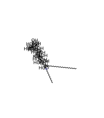 CCCCCCCCCCCCC/C=C/[C@@H](O)[C@H](CO[C@@H]1OC(CO)[C@@H](O[C@@H]2OC(CO)[C@H](O[C@@H]3OC(CO)[C@H](O)[C@H](O[C@@H]4OC(CO)[C@H](O)[C@H](O[C@]5(C(=O)O)CC(O)[C@@H](NC(=O)CO)C([C@H](O)[C@H](O)CO)O5)C4O)C3NC(C)=O)[C@H](O)C2O)[C@H](O)C1O)NC(=O)CCCCCCCCCCCCCCCCCCCCCCCCC